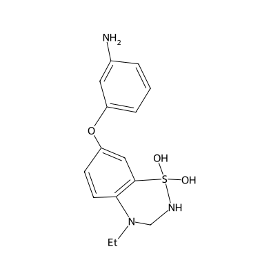 CCN1CNS(O)(O)c2cc(Oc3cccc(N)c3)ccc21